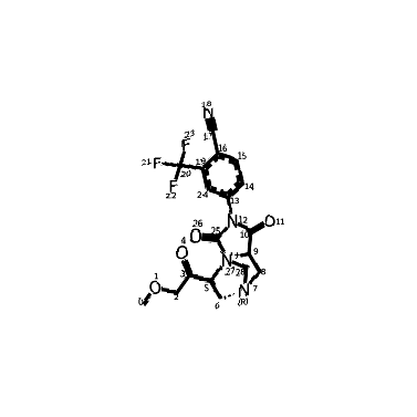 COCC(=O)C1C[N@@]2CC3C(=O)N(c4ccc(C#N)c(C(F)(F)F)c4)C(=O)[N+]13C2